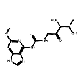 CSc1nc(NC(=O)NCC(=O)[C@@H](N)[C@@H](C)O)c2nc[nH]c2n1